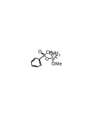 CO[Si](C)(C)OP(C)(=O)c1ccccc1